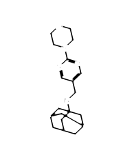 c1nc(N2CCOCC2)ncc1CNC12CC3CC(CC(C3)C1)C2